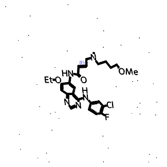 CCOc1cc2ncnc(Nc3ccc(F)c(Cl)c3)c2cc1NC(=O)/C=C/CN(C)CCCCOC